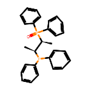 C[C@@H]([C@H](C)P(=O)(c1ccccc1)c1ccccc1)P(c1ccccc1)c1ccccc1